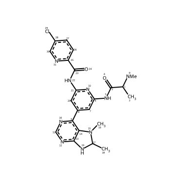 CNC(C)C(=O)Nc1cc(-c2ncnc3c2N(C)C(C)N3)cc(NC(=O)c2ccc(Cl)cn2)n1